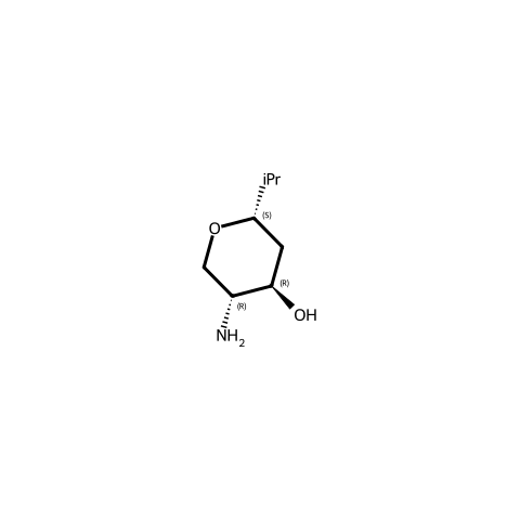 CC(C)[C@@H]1C[C@@H](O)[C@H](N)CO1